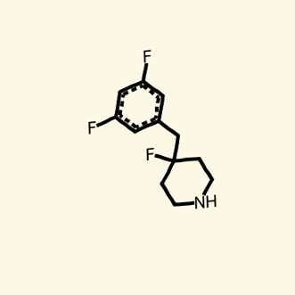 Fc1cc(F)cc(CC2(F)CCNCC2)c1